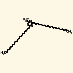 C[CH]c1nc(CCCCCCCCCCCCCCCCCCCC)nc(CCCCCCCCCCCCCCCCCCCC)n1